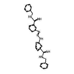 N=C(NCc1ccccc1)c1cccc(/N=N/Nc2cccc(C(=N)NCc3ccccc3)c2)c1